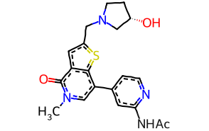 CC(=O)Nc1cc(-c2cn(C)c(=O)c3cc(CN4CC[C@H](O)C4)sc23)ccn1